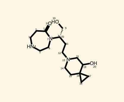 O=C1CCNCCN1[C@H](CO)CCN1CCC2(CC2)C(O)C1